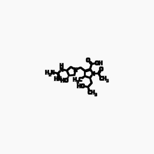 CC(=O)N1C(C(=O)O)=C(CN2C[C@H](NC(=N)N)[C@@H](O)C2)[C@H](C)[C@@H]1C[C@@H](C)O